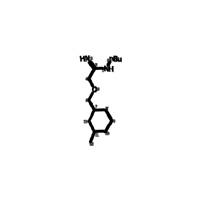 CCCCNC(=N)COCC1CCCC(C)C1